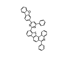 c1ccc(-c2cc(-c3ccc4c(c3)oc3ccccc34)nc(-c3cccc4c3sc3c4ccc4c(-c5ccccc5)nc5ccccc5c43)n2)cc1